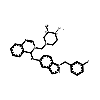 N[C@@H]1CCN(CN2C=Nc3ccccc3C2Nc2ccc3c(cnn3Cc3cccc(F)c3)c2)C[C@H]1O